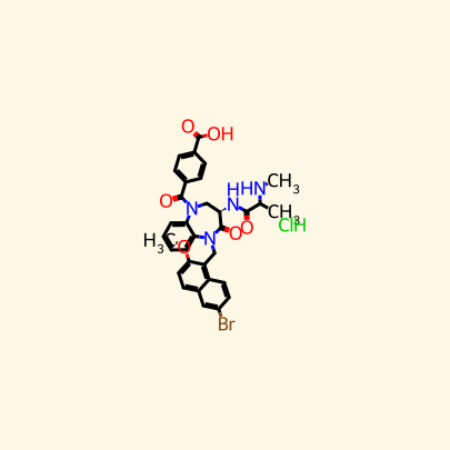 CNC(C)C(=O)N[C@H]1CN(C(=O)c2ccc(C(=O)O)cc2)c2ccccc2N(Cc2c(OC)ccc3cc(Br)ccc23)C1=O.Cl